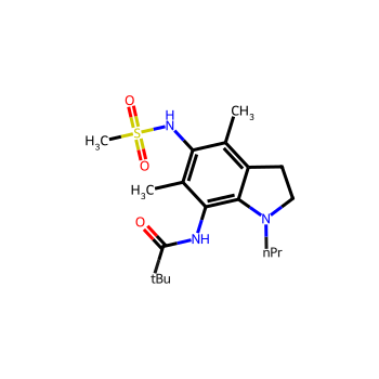 CCCN1CCc2c(C)c(NS(C)(=O)=O)c(C)c(NC(=O)C(C)(C)C)c21